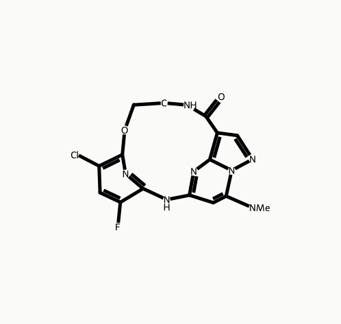 CNc1cc2nc3c(cnn13)C(=O)NCCOc1nc(c(F)cc1Cl)N2